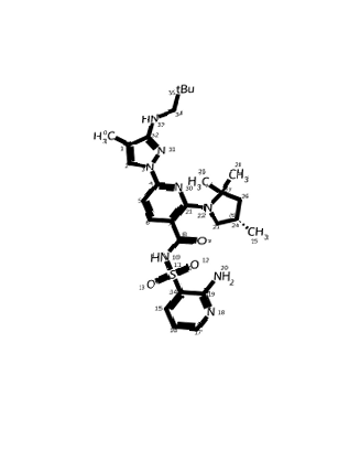 Cc1cn(-c2ccc(C(=O)NS(=O)(=O)c3cccnc3N)c(N3C[C@@H](C)CC3(C)C)n2)nc1NCC(C)(C)C